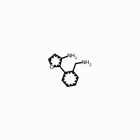 NCc1ccccc1-c1occc1N